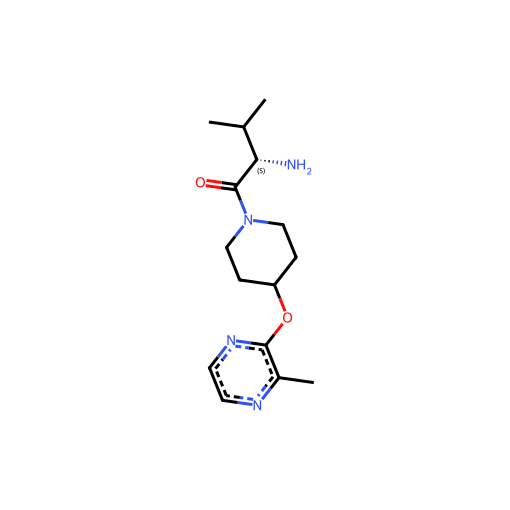 Cc1nccnc1OC1CCN(C(=O)[C@@H](N)C(C)C)CC1